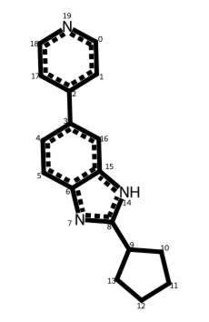 c1cc(-c2ccc3nc(C4CCCC4)[nH]c3c2)ccn1